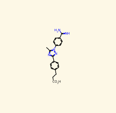 Cc1nc(-c2ccc(CCC(=O)O)cc2)nn1-c1ccc(C(=N)N)cc1